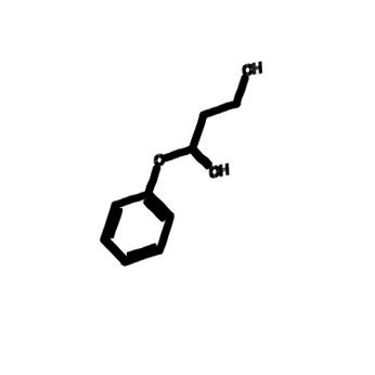 OCCC(O)Oc1cc[c]cc1